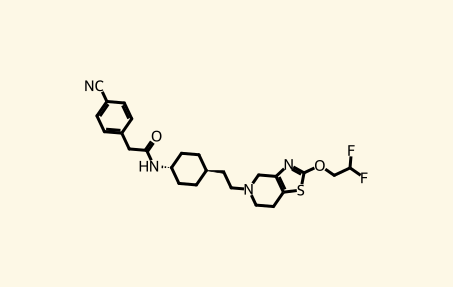 N#Cc1ccc(CC(=O)N[C@H]2CC[C@H](CCN3CCc4sc(OCC(F)F)nc4C3)CC2)cc1